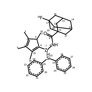 CC1=C(C)C(C)[C]([Zr]([NH]C(=O)C23CC4CC(CC(F)(C4)C2)C3)[SiH](c2ccccc2)c2ccccc2)=C1C